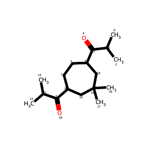 CC(C)C(=O)C1CCC(C(=O)C(C)C)CC(C)(C)C1